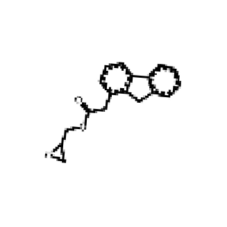 O=C(Cc1cccc2c1Cc1ccccc1-2)OCC1CO1